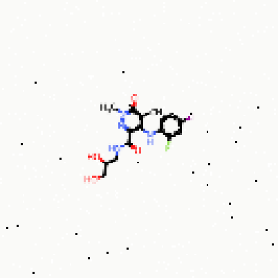 Cc1c(Nc2ccc(I)cc2F)c(C(=O)NCC(O)CO)nn(C)c1=O